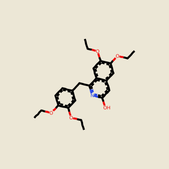 CCOc1ccc(Cc2nc(O)cc3cc(OCC)c(OCC)cc23)cc1OCC